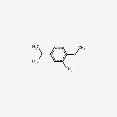 [CH2]C(C)c1ccc(SC)c(C)c1